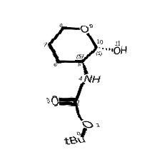 CC(C)(C)OC(=O)N[C@H]1CCCO[C@@H]1O